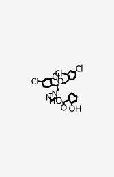 Clc1ccc(CO[C@@H](Cn2ccnc2)c2ccc(Cl)cc2Cl)c(Cl)c1.O=C(O)c1ccccc1O